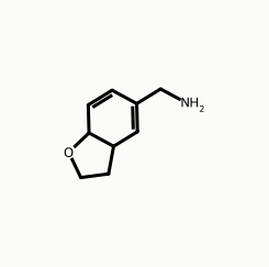 NCC1=CC2CCOC2C=C1